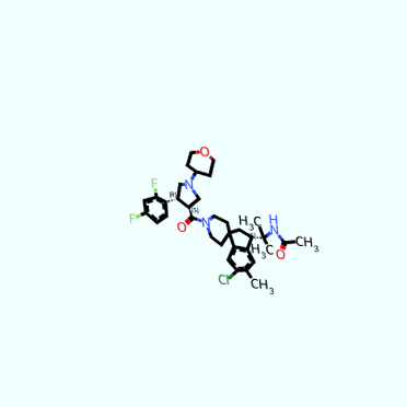 CC(=O)NC(C)(C)[C@H]1CC2(CCN(C(=O)[C@@H]3CN(C4CCOCC4)C[C@H]3c3ccc(F)cc3F)CC2)c2cc(Cl)c(C)cc21